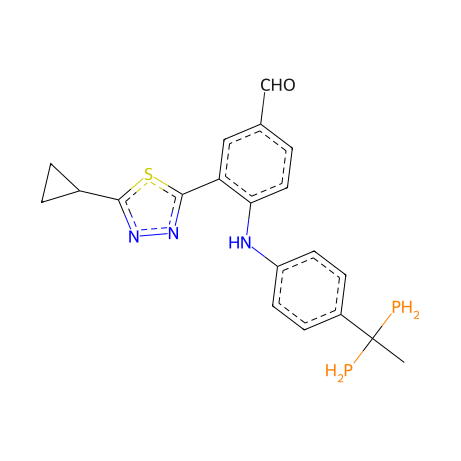 CC(P)(P)c1ccc(Nc2ccc(C=O)cc2-c2nnc(C3CC3)s2)cc1